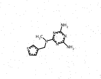 CN(Cc1ccsc1)c1nc(N)nc(N)n1